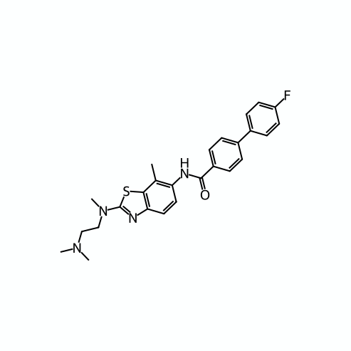 Cc1c(NC(=O)c2ccc(-c3ccc(F)cc3)cc2)ccc2nc(N(C)CCN(C)C)sc12